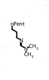 CCCCCCCC/N=C/N(C)C